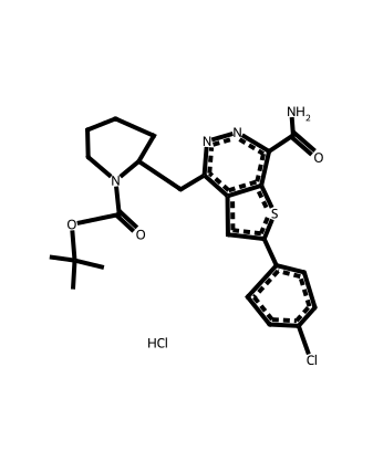 CC(C)(C)OC(=O)N1CCCCC1Cc1nnc(C(N)=O)c2sc(-c3ccc(Cl)cc3)cc12.Cl